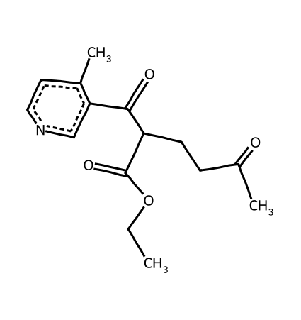 CCOC(=O)C(CCC(C)=O)C(=O)c1cnccc1C